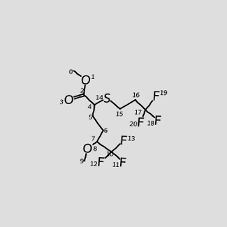 COC(=O)C(CCC(OC)C(F)(F)F)SCCC(F)(F)F